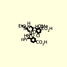 CC(=O)O.CCCC(NC(=O)N1C/C(=N/OCC)NC[C@H](Cc2cc(Cl)ccc2OC)C1=O)c1ccc(C(=O)O)cc1